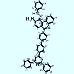 NC1C=Cc2c(-c3ccc(-c4ccc(-c5cc(-c6ccccc6)nc(-c6ccccc6)n5)cc4)cc3)nc3ccccc3c2/C1=N/Nc1ccccc1